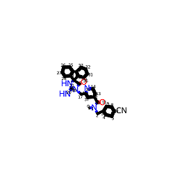 CN(Cc1ccc(C#N)cc1)C(=O)c1ccnc(CN2C(=N)NC(c3ccccc3)(c3ccccc3)C2=O)c1